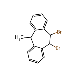 CC1c2ccccc2C(Br)C(Br)c2ccccc21